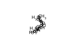 CN(C)CC(=O)N1CCN(C(=O)c2ccc(NC(=O)c3ncc(-c4ccc(OCF)cc4F)n3C)cc2Cl)CC1